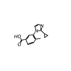 Cc1ccc(C(=O)O)cc1-n1ccnc1C1CC1